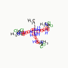 CCCCCCCCCCC(=O)NC(CCC(=O)NCCOCCOCCNS(=O)(=O)c1cccc([C@@H]2CN(C)Cc3c(Cl)cc(Cl)cc32)c1)(CCC(=O)NCCOCCOCCNS(=O)(=O)c1cccc([C@@H]2CN(C)Cc3c(Cl)cc(Cl)cc32)c1)CCC(=O)NCCOCCOCCNS(=O)(=O)c1cccc([C@@H]2CN(C)Cc3c(Cl)cc(Cl)cc32)c1